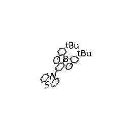 CC(C)(C)c1ccc2c(c1)B1c3cc(C(C)(C)C)ccc3Oc3cc(N4c5ccccc5Sc5ccccc54)cc(c31)O2